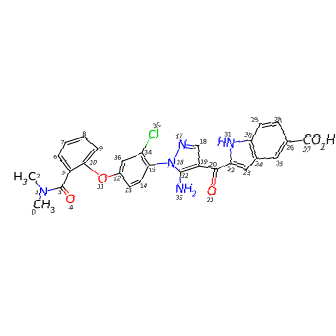 CN(C)C(=O)c1ccccc1Oc1ccc(-n2ncc(C(=O)c3cc4cc(C(=O)O)ccc4[nH]3)c2N)c(Cl)c1